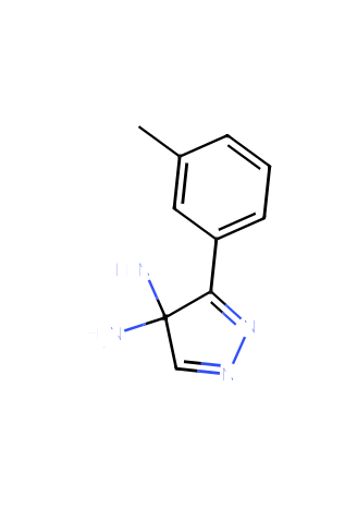 Cc1cccc(C2=NN=CC2(N)N)c1